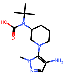 Cn1ncc(N)c1N1CCC[C@H](N(C(=O)O)C(C)(C)C)C1